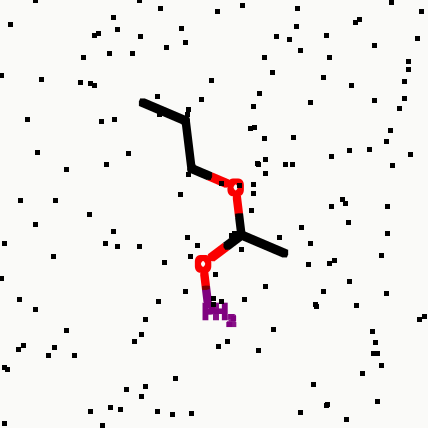 CCCOC(C)OP